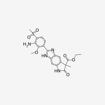 CCOC(=O)C1(C)C(=O)Nc2cc3[nH]c(-c4ccc(S(C)(=O)=O)c(N)c4OC)nc3cc21